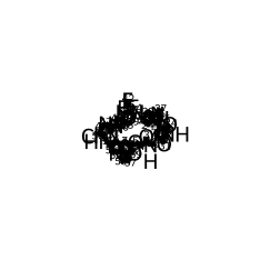 CNC(=O)COc1cc2cc(Nc3nc(N4CC5(CC[C@@H](Nc6ccc7c(C8CCC(=O)NC8=O)nn(C)c7c6)[C@@H](C(F)(F)F)C5)C4)ncc3Cl)cnc2n(C(C)C)c1=O